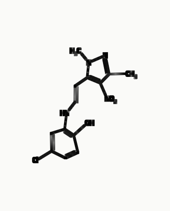 Cc1nn(C)c(/C=C/Nc2cc(Cl)ccc2O)c1[N+](=O)[O-]